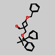 CC(C)(C)[Si](OCC1(C=O)CC(OCc2ccccc2)C1)(c1ccccc1)c1ccccc1